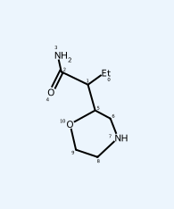 CCC(C(N)=O)C1CNCCO1